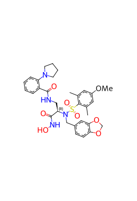 COc1cc(C)c(S(=O)(=O)N(Cc2ccc3c(c2)OCO3)[C@H](CNC(=O)c2ccccc2N2CCCC2)C(=O)NO)c(C)c1